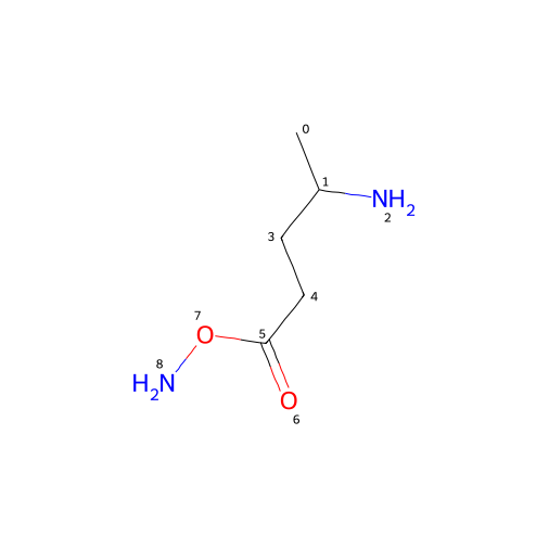 CC(N)CCC(=O)ON